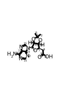 CC1(C)O[C@@H]2[C@H](O1)[C@@H](CC(=O)O)O[C@H]2n1cnc2c(N)ncnc21